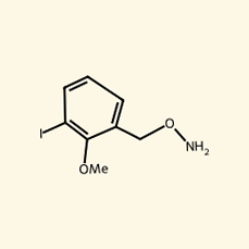 COc1c(I)cccc1CON